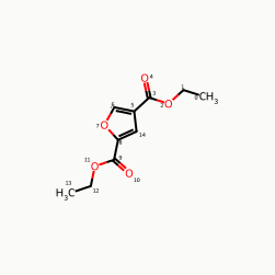 CCOC(=O)c1[c]oc(C(=O)OCC)c1